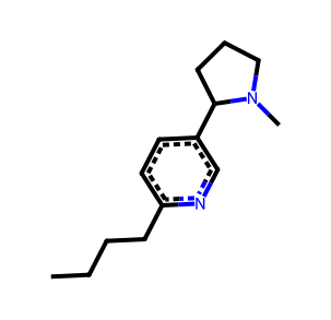 CCCCc1ccc(C2CCCN2C)cn1